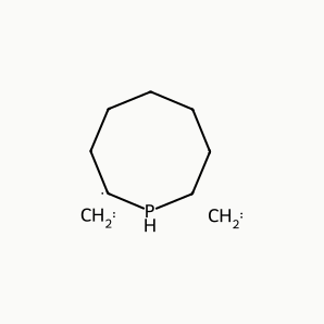 [CH2].[CH2].[CH]1CCCCCCP1